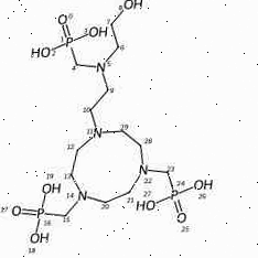 O=P(O)(O)CN(CCO)CCN1CCN(CP(=O)(O)O)CCN(CP(=O)(O)O)CC1